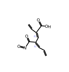 C=C/C=C(\C=C(/C=C)C(=O)O)C(=O)N=O